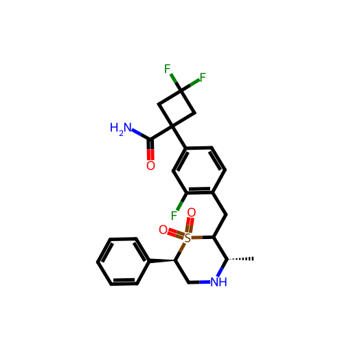 C[C@@H]1NC[C@@H](c2ccccc2)S(=O)(=O)C1Cc1ccc(C2(C(N)=O)CC(F)(F)C2)cc1F